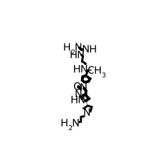 C[C@H](NCCCNC(=N)N)c1ccc(-n2cc3cc([C@@H]4CCN(CCCN)C4)[nH]c3nc2=O)cc1